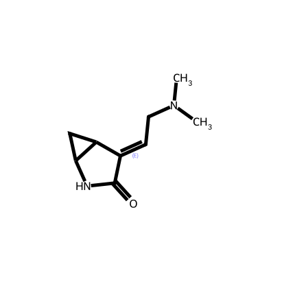 CN(C)C/C=C1/C(=O)NC2CC12